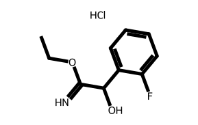 CCOC(=N)C(O)c1ccccc1F.Cl